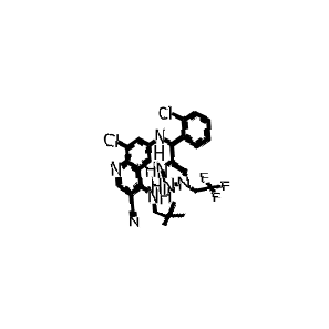 CC(C)(C)CNc1c(C#N)cnc2c(Cl)cc(NC(C3=CN(CC(F)(F)F)NN3)c3ccccc3Cl)cc12